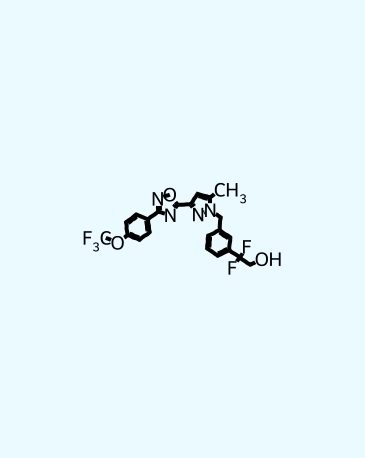 Cc1cc(-c2nc(-c3ccc(OC(F)(F)F)cc3)no2)nn1Cc1cccc(C(F)(F)CO)c1